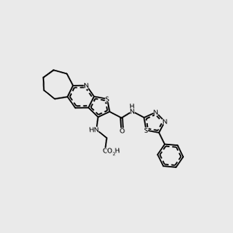 O=C(O)CNc1c(C(=O)Nc2nnc(-c3ccccc3)s2)sc2nc3c(cc12)CCCCC3